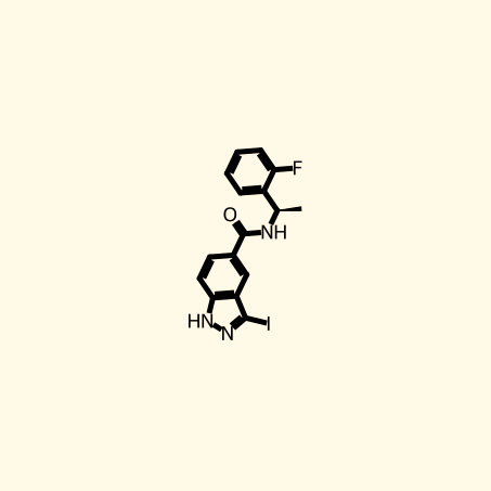 C[C@@H](NC(=O)c1ccc2[nH]nc(I)c2c1)c1ccccc1F